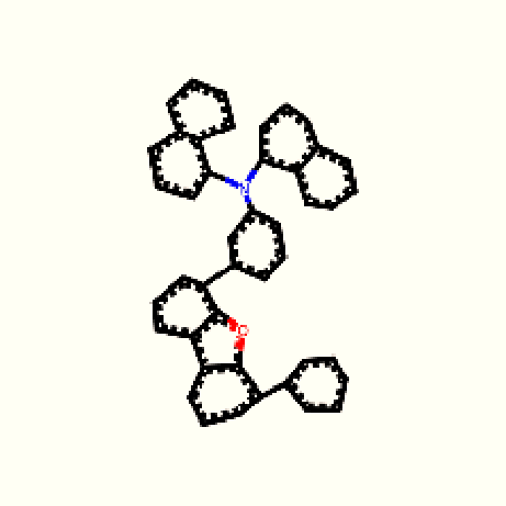 c1ccc(-c2cccc3c2oc2c(-c4cccc(N(c5cccc6ccccc56)c5cccc6ccccc56)c4)cccc23)cc1